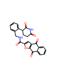 O=C1CCC(c2ccccc2CNC(=O)c2cc3c(o2)C(=O)c2ccccc2C3=O)C(=O)N1